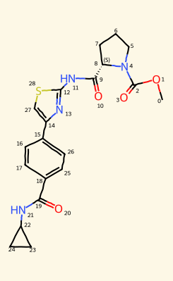 COC(=O)N1CCC[C@H]1C(=O)Nc1nc(-c2ccc(C(=O)NC3CC3)cc2)cs1